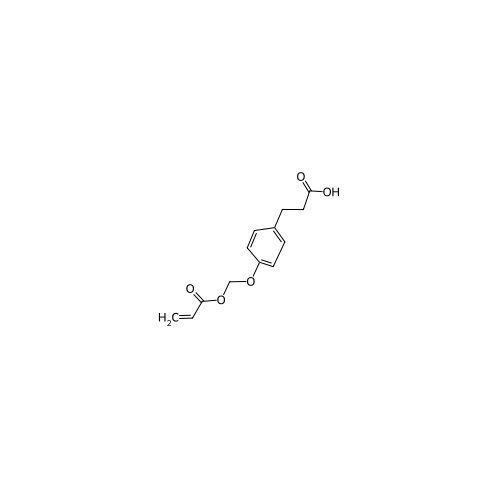 C=CC(=O)OCOc1ccc(CCC(=O)O)cc1